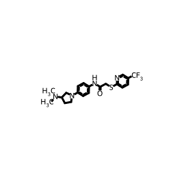 CN(C)C1CCN(c2ccc(NC(=O)CSc3ccc(C(F)(F)F)cn3)cc2)C1